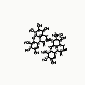 O.OC[C@H]1O[C@@H](O[C@H]2[C@H](O)[C@@H](O)[C@H](O)O[C@@H]2CO)[C@H](O)[C@@H](O)[C@H]1O.OC[C@H]1O[C@@H](O[C@H]2[C@H](O)[C@@H](O)[C@H](O)O[C@@H]2CO)[C@H](O)[C@@H](O)[C@H]1O